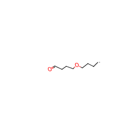 [CH2]CCCOCCCC=O